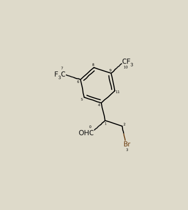 O=CC(CBr)c1cc(C(F)(F)F)cc(C(F)(F)F)c1